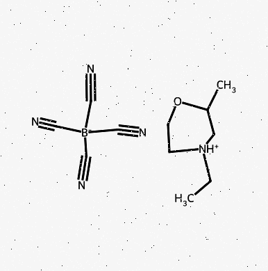 CC[NH+]1CCOC(C)C1.N#C[B-](C#N)(C#N)C#N